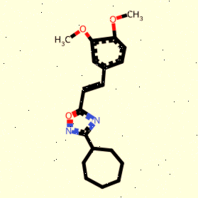 COc1ccc(C=Cc2nc(C3CCCCCC3)no2)cc1OC